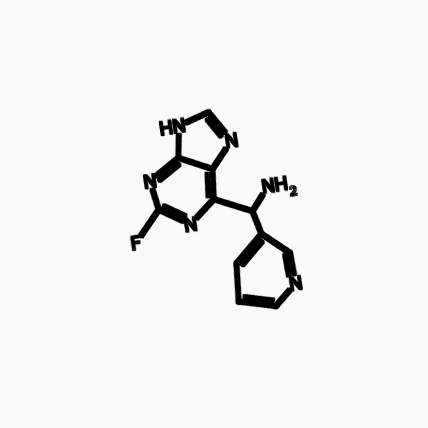 NC(c1cccnc1)c1nc(F)nc2[nH]cnc12